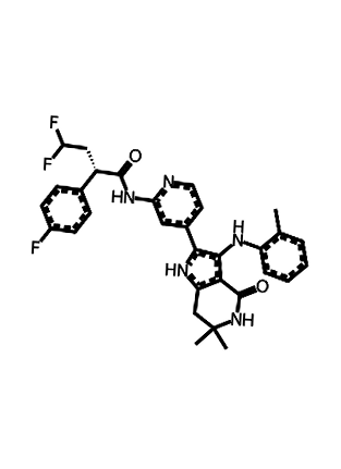 Cc1ccccc1Nc1c(-c2ccnc(NC(=O)[C@@H](CC(F)F)c3ccc(F)cc3)c2)[nH]c2c1C(=O)NC(C)(C)C2